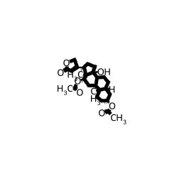 CC(=O)O[C@H]1CC[C@]2(C)C3C[C@@H](OC(C)=O)[C@]4(C)[C@@H](C5=CC(=O)OC5)CC[C@]4(O)C3CC[C@@H]2C1